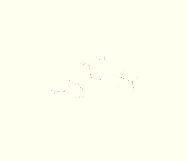 CC(C)(O/N=C(\C(N)=O)c1nc(N)sc1Cl)C(=O)O